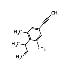 C=CC(C)c1c(C)cc(C#CC)cc1C